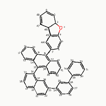 C1=CC2Oc3ccc(-c4c5ccccc5c(-c5cccc6ccc(-c7cccc(-c8ccccc8)c7)cc56)c5ccccc45)cc3C2C=C1